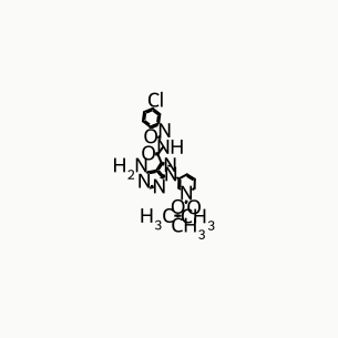 CC(C)(C)OC(=O)N1C=C(n2nc(C(=O)Nc3nc4cc(Cl)ccc4o3)c3c(N)ncnc32)C=CC1